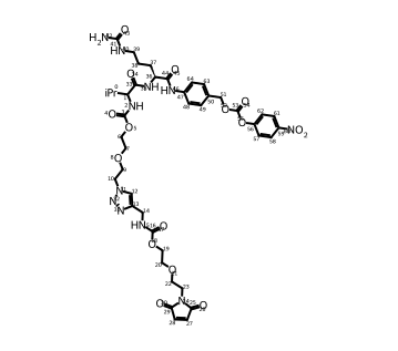 CC(C)C(NC(=O)OCCOCCn1cc(CNC(=O)OCCOCCN2C(=O)C=CC2=O)nn1)C(=O)N[C@@H](CCCNC(N)=O)C(=O)Nc1ccc(COC(=O)Oc2ccc([N+](=O)[O-])cc2)cc1